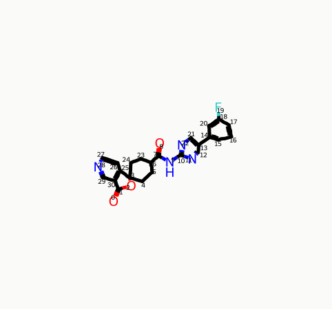 O=C1OC2(CCC(C(=O)Nc3ncc(-c4cccc(F)c4)cn3)CC2)c2ccncc21